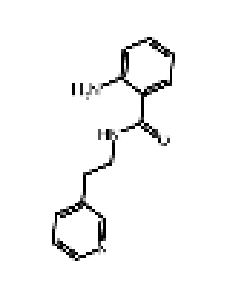 Nc1ccccc1C(=O)NCCc1cccnc1